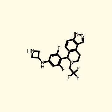 Fc1cc(NC2CNC2)cc(F)c1C1c2ccc3[nH]ncc3c2CCN1CC(F)(F)F